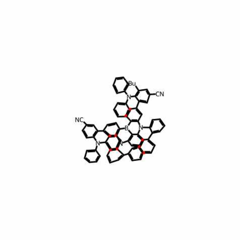 CC(C)(C)c1cc(C#N)cc(-c2ccc3c(c2)N(c2ccccc2-c2ccccc2)c2cccc4c2B3c2ccc(-c3cc(C#N)ccc3N(c3ccccc3)c3ccccc3)cc2N4c2ccccc2-c2ccccc2)c1N(c1ccccc1)c1ccccc1